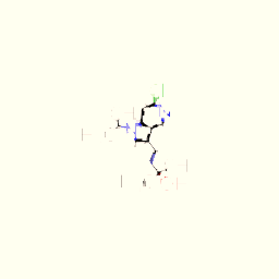 CC(C)n1cc(/C=C/C(C)(C)O)c2cnc(Cl)cc21